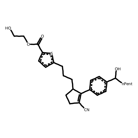 CCCCCC(O)c1ccc(C2=C(C#N)CCC2CCCc2ccc(C(=O)OCCO)s2)cc1